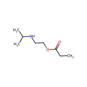 CCC(=O)OCCNC(C)C